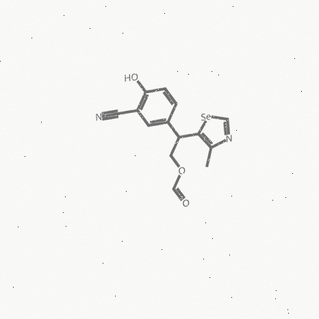 Cc1nc[se]c1C(COC=O)c1ccc(O)c(C#N)c1